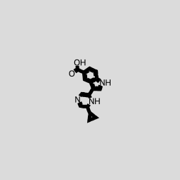 O=C(O)c1ccc2[nH]cc(C3=CN=CC(C4CC4)N3)c2c1